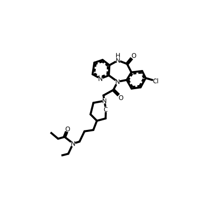 CCC(=O)N(CC)CCCC1CCN(CC(=O)N2c3ccc(Cl)cc3C(=O)Nc3cccnc32)CC1